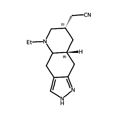 CCN1C[C@H](CC#N)C[C@@H]2Cc3n[nH]cc3CC21